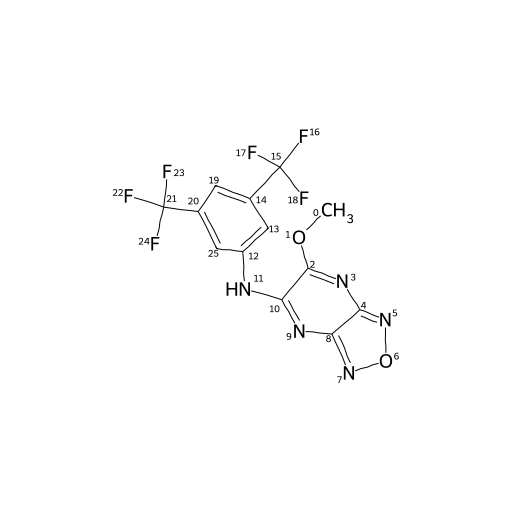 COc1nc2nonc2nc1Nc1cc(C(F)(F)F)cc(C(F)(F)F)c1